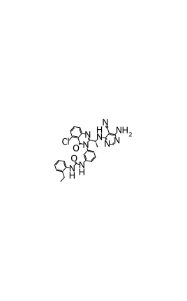 CCc1ccccc1NC(=O)Nc1cccc(-n2c([C@H](C)Nc3ncnc(N)c3C#N)nc3cccc(Cl)c3c2=O)c1